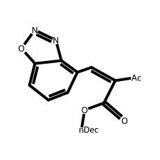 CCCCCCCCCCOC(=O)C(=Cc1cccc2onnc12)C(C)=O